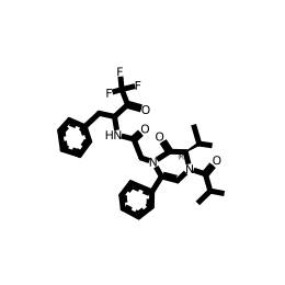 CC(C)C(=O)N1C=C(c2ccccc2)N(CC(=O)NC(Cc2ccccc2)C(=O)C(F)(F)F)C(=O)[C@H]1C(C)C